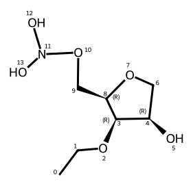 CCO[C@@H]1[C@H](O)CO[C@@H]1CON(O)O